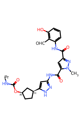 CC(C)NC(=O)O[C@@H]1CC[C@H](c2cc(NC(=O)c3cc(C(=O)Nc4cccc(O)c4C=O)nn3C)n[nH]2)C1